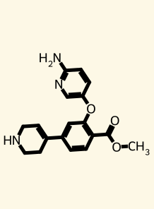 COC(=O)c1ccc(C2=CCNCC2)cc1Oc1ccc(N)nc1